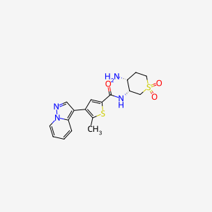 Cc1sc(C(=O)N[C@H]2CS(=O)(=O)CC[C@H]2N)cc1-c1cnn2ccccc12